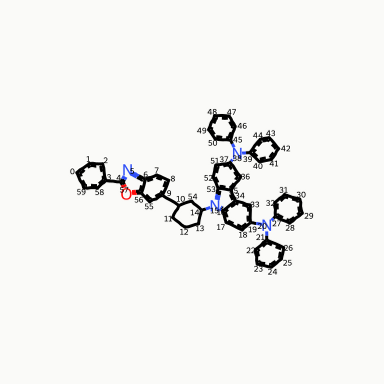 c1ccc(-c2nc3ccc(C4CCCC(n5c6ccc(N(c7ccccc7)c7ccccc7)cc6c6cc(N(c7ccccc7)c7ccccc7)ccc65)C4)cc3o2)cc1